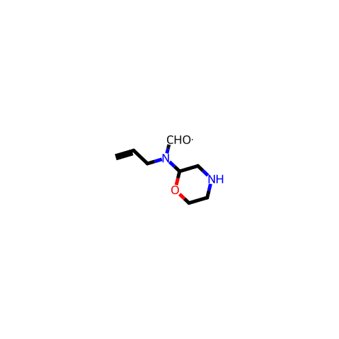 C=CCN([C]=O)C1CNCCO1